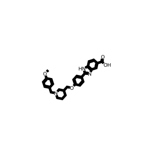 COc1ccc(CN2CCCC(COc3ccc(-c4nc5cc(C(=O)O)ccc5[nH]4)cc3)C2)cc1